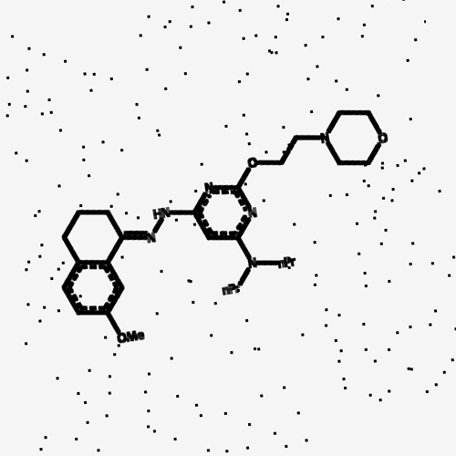 CCCN(CCC)c1cc(N/N=C2\CCCc3ccc(OC)cc32)nc(OCCN2CCOCC2)n1